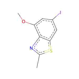 COc1cc(I)cc2sc(C)nc12